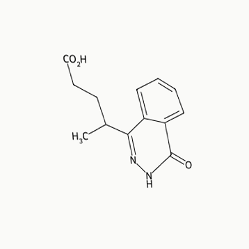 CC(CCC(=O)O)c1n[nH]c(=O)c2ccccc12